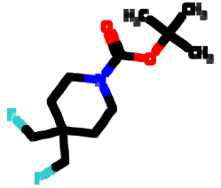 CC(C)(C)OC(=O)N1CCC(CF)(CF)CC1